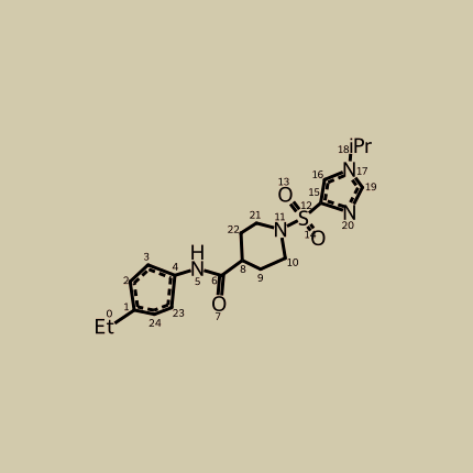 CCc1ccc(NC(=O)C2CCN(S(=O)(=O)c3cn(C(C)C)cn3)CC2)cc1